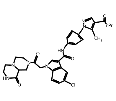 CCCC(=O)c1cnn(-c2ccc(NC(=O)c3cn(CC(=O)N4CCN5CCNC(=O)C5C4)c4ccc(Cl)cc34)cc2)c1C